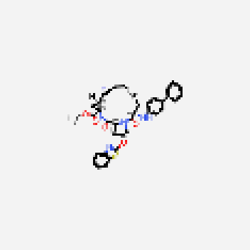 COC(=O)[C@@]12C[C@H]1/C=C\CCCCC[C@H](Nc1ccc(-c3ccccc3)cc1)C(=O)N1C[C@H](Oc3nc4ccccc4s3)C[C@H]1C(=O)N2